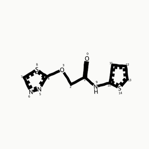 O=C(COc1nncs1)Nc1cccs1